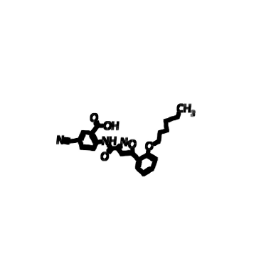 CCCCCCOc1ccccc1-c1cc(C(=O)Nc2ccc(C#N)cc2C(=O)O)no1